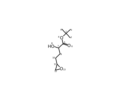 CC(C)(C)OC(=O)C(O)CCC1CO1